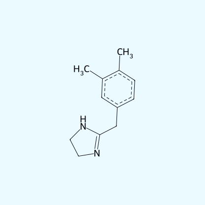 Cc1ccc(CC2=NCCN2)cc1C